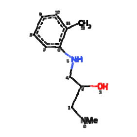 CNCC(O)CNc1ccccc1C